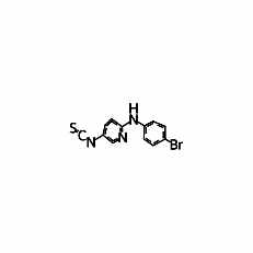 S=C=Nc1ccc(Nc2ccc(Br)cc2)nc1